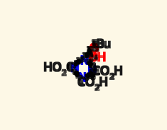 CC1CN(C(=O)O)CCN(C(=O)O)CCN(CC(O)COC(C)(C)C)CCN1C(=O)O